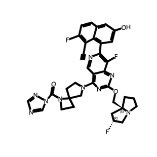 C#Cc1c(F)ccc2cc(O)cc(-c3ncc4c(N5CCC6(CCN6C(=O)n6cncn6)C5)nc(OC[C@@]56CCCN5C[C@H](F)C6)nc4c3F)c12